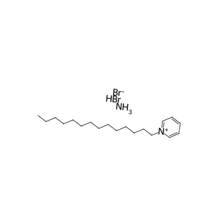 Br.CCCCCCCCCCCCCC[n+]1ccccc1.N.[Br-]